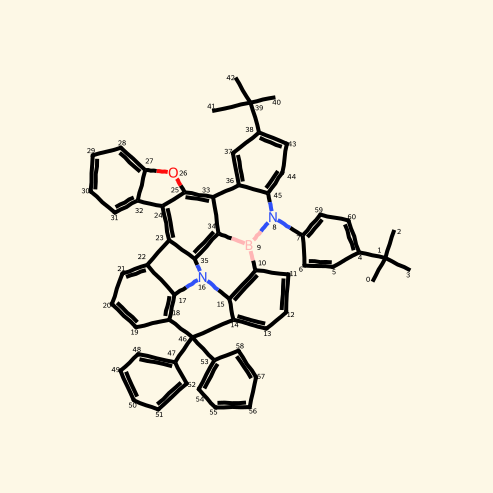 CC(C)(C)c1ccc(N2B3c4cccc5c4-n4c6c(cccc6c6c7c(oc8ccccc87)c(c3c64)-c3cc(C(C)(C)C)ccc32)C5(c2ccccc2)c2ccccc2)cc1